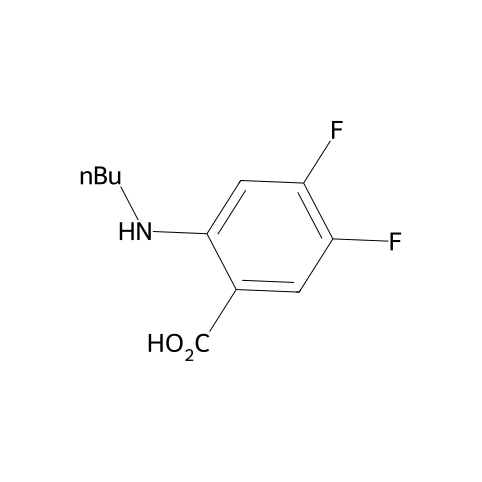 CCCCNc1cc(F)c(F)cc1C(=O)O